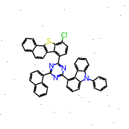 Clc1ccc(-c2nc(-c3cccc4ccccc34)nc(-c3cccc4c3c3ccccc3n4-c3ccccc3)n2)c2c1sc1c3ccccc3ccc12